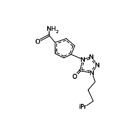 CC(C)CCCn1nnn(-c2ccc(C(N)=O)cc2)c1=O